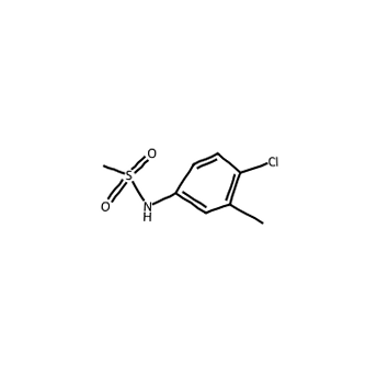 Cc1cc(NS(C)(=O)=O)ccc1Cl